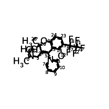 CN(C)CC1=C(n2ccccc2=O)c2cc(C(F)(F)C(F)(F)F)ccc2OC1(C)C